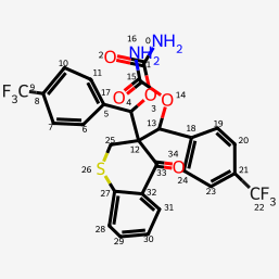 NC(=O)OC(c1ccc(C(F)(F)F)cc1)C1(C(OC(N)=O)c2ccc(C(F)(F)F)cc2)CSc2ccccc2C1=O